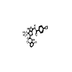 CC1(C)c2[nH]nc(NC(=O)c3ccc(Cl)cc3)c2CN1C(=O)Nc1c(Cl)cccc1Cl